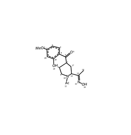 COc1ccc(C(=O)C2CCN(C(C)=O)C(C(C)=NO)C2)c(O)c1